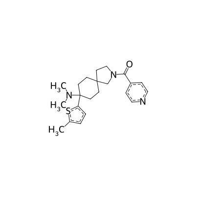 Cc1ccc(C2(N(C)C)CCC3(CCN(C(=O)c4ccncc4)C3)CC2)s1